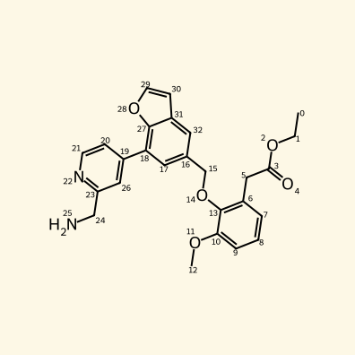 CCOC(=O)Cc1cccc(OC)c1OCc1cc(-c2ccnc(CN)c2)c2occc2c1